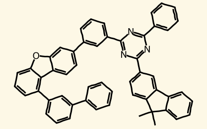 CC1(C)c2ccccc2-c2cc(-c3nc(-c4ccccc4)nc(-c4cccc(-c5ccc6c(c5)oc5cccc(-c7cccc(-c8ccccc8)c7)c56)c4)n3)ccc21